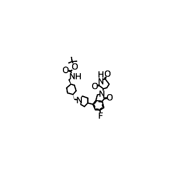 CC(C)(C)OC(=O)NC[C@H]1CC[C@H](CN2CCC(c3cc(F)cc4c3CN(C3CCC(=O)NC3=O)C4=O)CC2)CC1